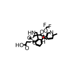 Cc1ccc(NC(=O)C2(c3ccccc3C(C)C)CNC2S(=O)(=O)CCC(=O)O)c(OC(F)F)n1